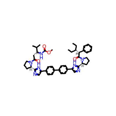 CCC(CC)[C@@H](C(=O)N1CCC[C@H]1c1ncc(-c2ccc(-c3ccc(-c4cnc([C@@H]5CCCN5C(=O)C[C@@H](NC(=O)OC)C(C)C)[nH]4)cc3)cc2)[nH]1)c1ccccc1